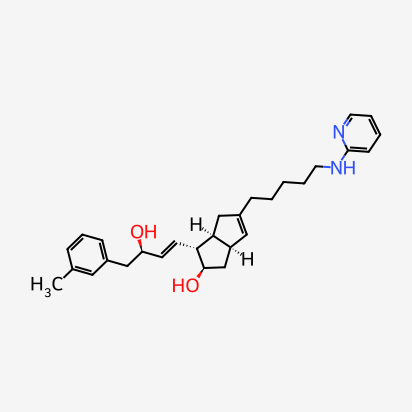 Cc1cccc(C[C@@H](O)/C=C/[C@@H]2[C@H]3CC(CCCCCNc4ccccn4)=C[C@H]3C[C@H]2O)c1